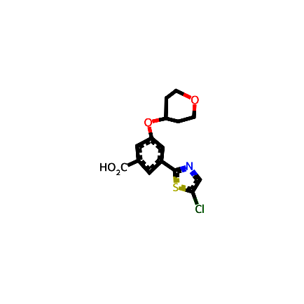 O=C(O)c1cc(OC2CCOCC2)cc(-c2ncc(Cl)s2)c1